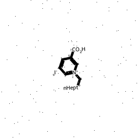 CCCCCCCC[n+]1cccc(C(=O)O)c1.[I-]